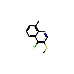 CSc1cnc2c(C)cccc2c1Cl